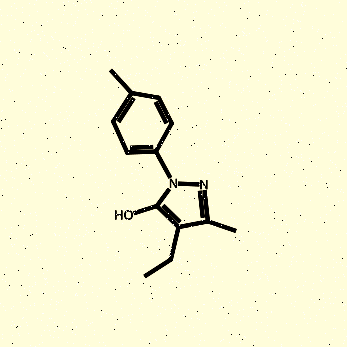 CCc1c(C)nn(-c2ccc(C)cc2)c1O